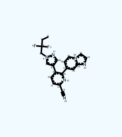 CCC(F)(F)Cn1cc(-c2ccc(C#N)nc2-c2ccn3ccnc3c2)cn1